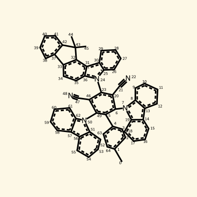 Cc1ccc(-c2c(-n3c4ccccc4c4ccccc43)c(C#N)c(-n3c4ccccc4c4c5c(ccc43)-c3ccccc3C5(C)C)c(C#N)c2-n2c3ccccc3c3ccccc32)cc1